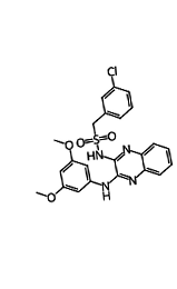 COc1cc(Nc2nc3ccccc3nc2NS(=O)(=O)Cc2cccc(Cl)c2)cc(OC)c1